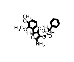 [2H]C([2H])(c1ccccc1)S(=O)(=O)OC1=C(N)O[C@]([2H])(c2cccc(OC)c2OC)C1=O